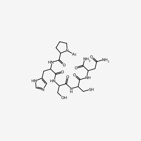 CC(=O)N1CCCC1C(=O)NC(Cc1cnc[nH]1)C(=O)NC(CO)C(=O)NC(CS)C(=O)NC(CC(N)=O)C(N)=O